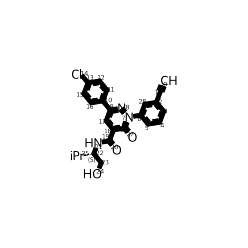 C#Cc1cccc(-n2nc(-c3ccc(Cl)cc3)cc(C(=O)N[C@H](CO)C(C)C)c2=O)c1